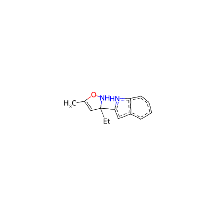 CCC1(c2cc3ccccc3[nH]2)C=C(C)ON1